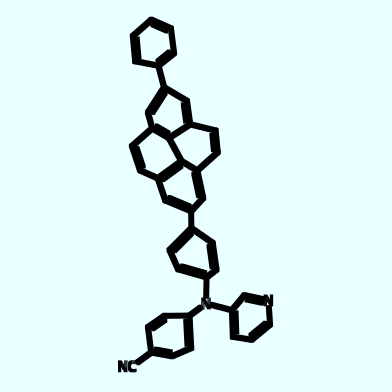 N#Cc1ccc(N(c2ccc(-c3cc4ccc5cc(-c6ccccc6)cc6ccc(c3)c4c56)cc2)c2cccnc2)cc1